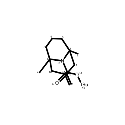 C=C1CC2(C)CCCC(C)(C1)N2C(=O)OC(C)(C)C